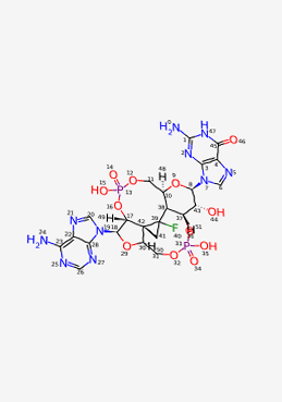 Nc1nc2c(ncn2[C@@H]2O[C@@H]3COP(=O)(O)O[C@H]4[C@H](n5cnc6c(N)ncnc65)O[C@@H]5COP(=O)(O)O[C@H](C3C3(F)C[C@@]543)[C@H]2O)c(=O)[nH]1